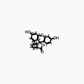 O=C1OC2(c3ccc(O)cc3Oc3cc(O)ccc32)c2c(O)cccc21